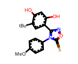 COc1ccc(-n2c(-c3cc(C(C)(C)C)c(O)cc3O)noc2=S)cc1